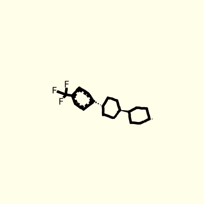 FC(F)(F)c1ccc([C@H]2CC[C@H](C3CC[CH]CC3)CC2)cc1